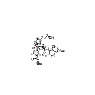 COc1cccc(CN(C(=O)C2=C(c3cnc(CCCO)s3)CC3CN(C(=O)OC(C)(C)C)CC2N3C(=O)OC(C)(C)C)C2CC2)c1C